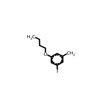 [CH2]c1cc(I)cc(OCCCC)c1